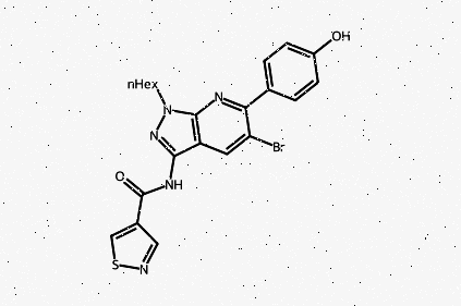 CCCCCCn1nc(NC(=O)c2cnsc2)c2cc(Br)c(-c3ccc(O)cc3)nc21